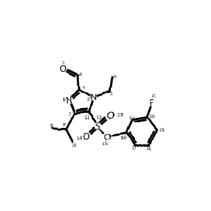 CCn1c(C=O)nc(C(C)C)c1S(=O)(=O)Oc1cccc(F)c1